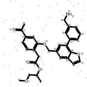 COCC(C)OC(=O)Cc1ccc(C(C)=O)cc1OCc1cc(-c2cccc(CN)c2)c2occc2c1